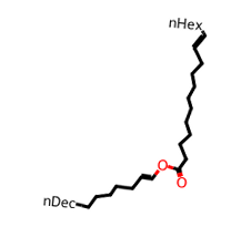 CCCCCCC=CCCCCCCCCCC(=O)OC=CCCCCCCCCCCCCCCC